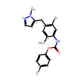 CC(C)c1cc(NC(=O)Oc2ccc(Cl)cc2)c(C(=O)O)cc1Cc1ccnn1C